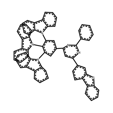 c1ccc(-c2nc(-c3cc(-n4c5ccccc5c5ccccc54)c(-n4c5ccccc5c5ccccc54)c(-n4c5ccccc5c5ccccc54)c3)cc(-c3ccc4c(c3)sc3ccccc34)n2)cc1